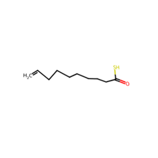 C=CCCCCCCCC(=O)S